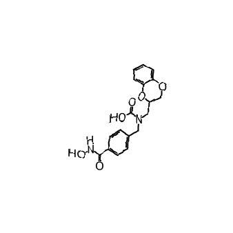 O=C(NO)c1ccc(CN(CC2COc3ccccc3O2)C(=O)O)cc1